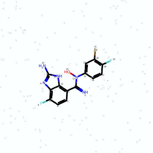 N=C(c1ccc(F)c2nc(N)[nH]c12)N(O)c1ccc(F)c(Br)c1